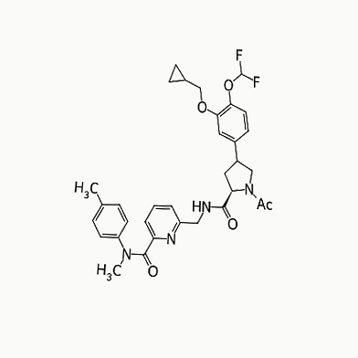 CC(=O)N1CC(c2ccc(OC(F)F)c(OCC3CC3)c2)C[C@@H]1C(=O)NCc1cccc(C(=O)N(C)c2ccc(C)cc2)n1